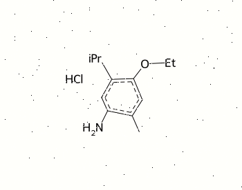 CCOc1cc(C)c(N)cc1C(C)C.Cl